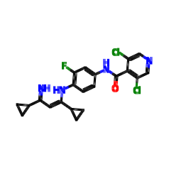 N=C(/C=C(\Nc1ccc(NC(=O)c2c(Cl)cncc2Cl)cc1F)C1CC1)C1CC1